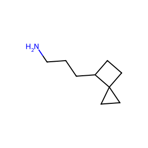 NCCCC1CCC12CC2